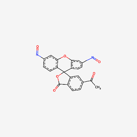 CC(=O)c1ccc2c(c1)C1(OC2=O)c2ccc(N=O)cc2Oc2cc(N=O)ccc21